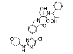 CC(O)C(NC(=O)C(CO)N1Cc2ccc(-c3nc(NC4CCOCC4)ncc3Cl)cc2C1=O)c1ccccc1